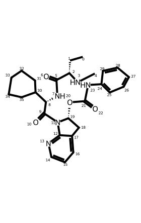 CC[C@H](NC)C(=O)N[C@H](C(=O)N1c2ncccc2C[C@H]1OC(=O)Nc1ccccc1)C1CCCCC1